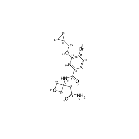 NC(=O)CC1(NC(=O)c2ccc(Br)c(OCC3CC3)n2)COC1